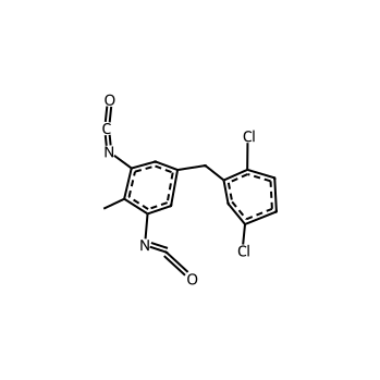 Cc1c(N=C=O)cc(Cc2cc(Cl)ccc2Cl)cc1N=C=O